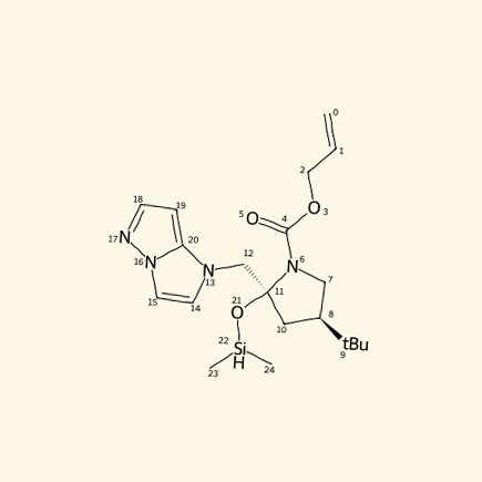 C=CCOC(=O)N1C[C@@H](C(C)(C)C)C[C@@]1(Cn1ccn2nccc12)O[SiH](C)C